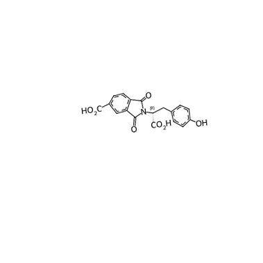 O=C(O)c1ccc2c(c1)C(=O)N([C@H](Cc1ccc(O)cc1)C(=O)O)C2=O